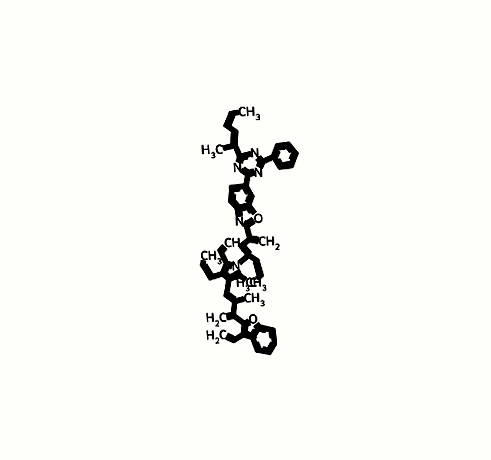 C=Cc1c(C(=C)/C(C)=C/c2c(/C=C\C)c(C=C)n(C(/C=C\C)=C/C(=C)c3nc4ccc(-c5nc(/C(C)=C/C=C\C)nc(-c6ccccc6)n5)cc4o3)c2C)oc2ccccc12